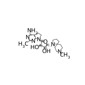 Cc1nc(N)c2c(n1)N([C@@H]1O[C@H](CN3CCCC34CCN(C)CC4)[C@@H](O)[C@H]1O)CC2